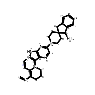 C=NC1=C(/C=C\C)N(c2n[nH]c3nc(N4CCC5(CC4)Cc4ccccc4C5N)cnc23)CCC1